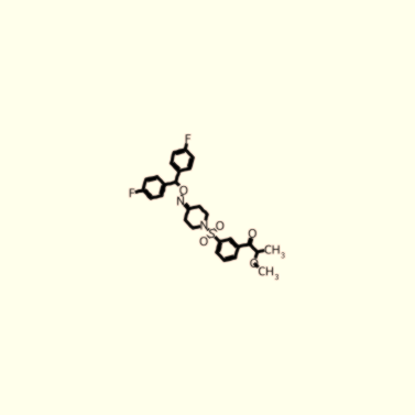 COC(C)C(=O)c1cccc(S(=O)(=O)N2CCC(=NOC(c3ccc(F)cc3)c3ccc(F)cc3)CC2)c1